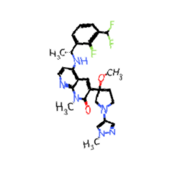 COC1(c2cc3c(N[C@H](C)c4cccc(C(F)F)c4F)ccnc3n(C)c2=O)CCN(c2cnn(C)c2)C1